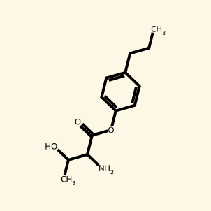 CCCc1ccc(OC(=O)C(N)C(C)O)cc1